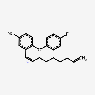 C=CCCCCC/C=C\c1cc(C#N)ccc1Oc1ccc(F)cc1